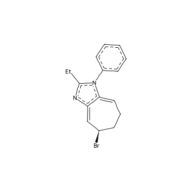 CCc1nc2c(n1-c1ccccc1)=CCC[C@@H](Br)C=2